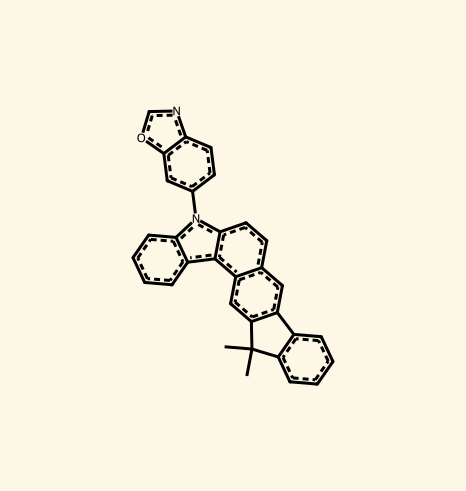 CC1(C)c2ccccc2-c2cc3ccc4c(c3cc21)c1ccccc1n4-c1ccc2ncoc2c1